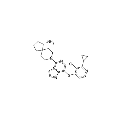 N[C@H]1CCCC12CCN(c1ncc(Sc3ccnc(C4CC4)c3Cl)c3nccn13)CC2